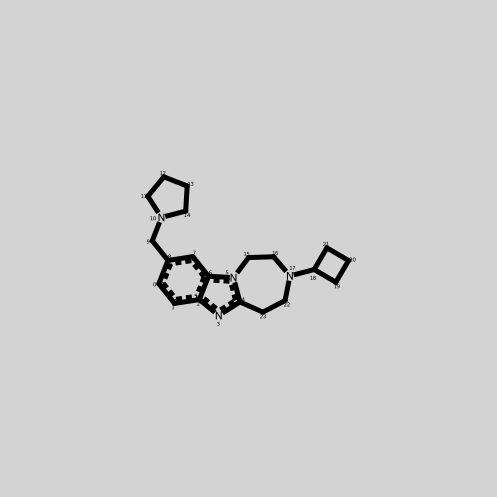 c1cc2nc3n(c2cc1CN1CCCC1)CCN(C1CCC1)CC3